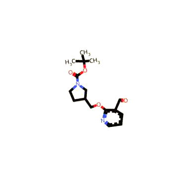 CC(C)(C)OC(=O)N1CCC(COc2ncccc2C=O)C1